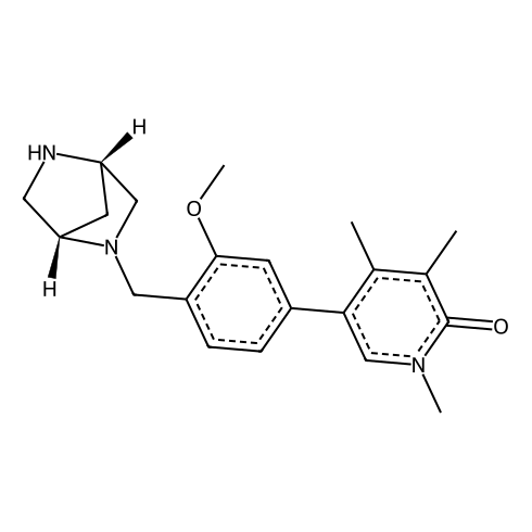 COc1cc(-c2cn(C)c(=O)c(C)c2C)ccc1CN1C[C@@H]2C[C@H]1CN2